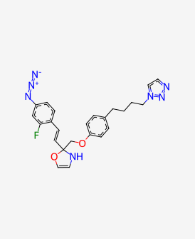 [N-]=[N+]=Nc1ccc(/C=C/C2(COc3ccc(CCCCn4ccnn4)cc3)NC=CO2)c(F)c1